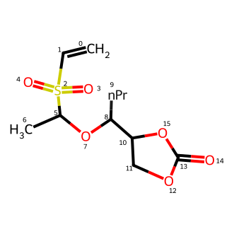 C=CS(=O)(=O)C(C)OC(CCC)C1COC(=O)O1